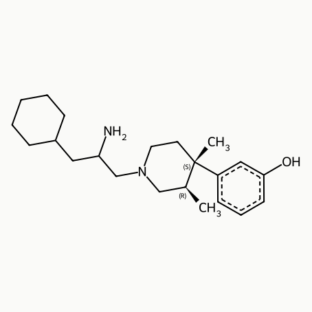 C[C@H]1CN(CC(N)CC2CCCCC2)CC[C@]1(C)c1cccc(O)c1